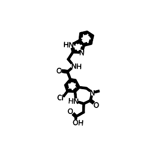 CN1Cc2cc(C(=O)NCc3nc4ccccc4[nH]3)cc(Cl)c2NC(CC(=O)O)C1=O